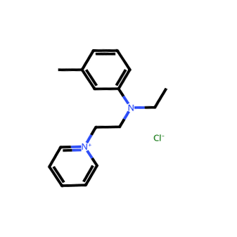 CCN(CC[n+]1ccccc1)c1cccc(C)c1.[Cl-]